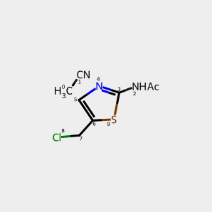 CC#N.CC(=O)Nc1ncc(CCl)s1